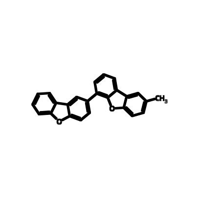 Cc1ccc2oc3c(-c4ccc5oc6ccccc6c5c4)cccc3c2c1